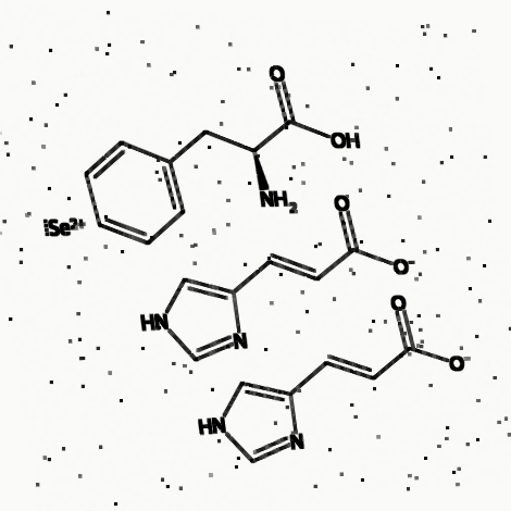 N[C@@H](Cc1ccccc1)C(=O)O.O=C([O-])C=Cc1c[nH]cn1.O=C([O-])C=Cc1c[nH]cn1.[Se+2]